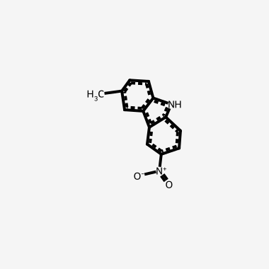 Cc1ccc2[nH]c3ccc([N+](=O)[O-])cc3c2c1